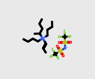 CC=C[N+](CCCC)(CCCC)C(C)CCC.O=S(=O)([N-]S(=O)(=O)C(F)(F)F)C(F)(F)F